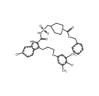 Cc1cc(OCCCc2c(C(=O)NS(=O)(=O)CC3CCN(C(=O)OCc4ccccc4)CC3)[nH]c3cc(Cl)ccc23)cc(C)c1Cl